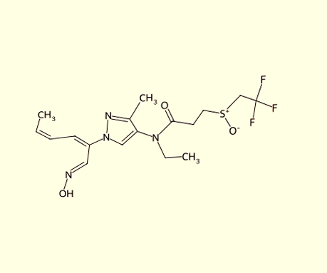 C\C=C/C=C(\C=N\O)n1cc(N(CC)C(=O)CC[S+]([O-])CC(F)(F)F)c(C)n1